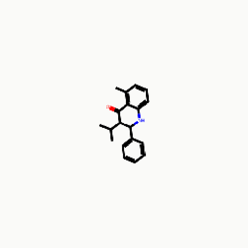 [CH2]c1cccc2c1C(=O)C(C(C)C)C(c1ccccc1)N2